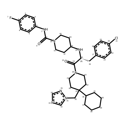 O=C(Nc1ccc(F)cc1)N1CCC(N[C@H](Cc2ccc(Cl)cc2)C(=O)N2CCC(Cn3cncn3)(C3CCCCC3)CC2)CC1